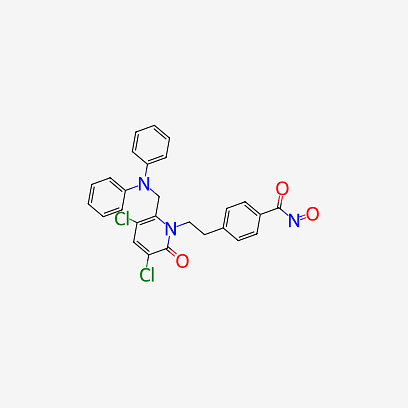 O=NC(=O)c1ccc(CCn2c(CN(c3ccccc3)c3ccccc3)c(Cl)cc(Cl)c2=O)cc1